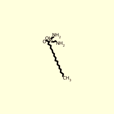 CCCCCCCCCCCCCCCCCCC(C(=O)O)N(CCN)CCN